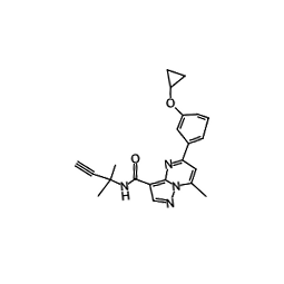 C#CC(C)(C)NC(=O)c1cnn2c(C)cc(-c3cccc(OC4CC4)c3)nc12